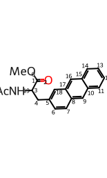 COC(=O)C(Cc1ccc2cc3ccccc3cc2c1)NC(C)=O